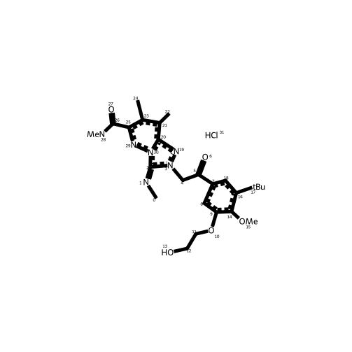 CN=c1n(CC(=O)c2cc(OCCO)c(OC)c(C(C)(C)C)c2)nc2c(C)c(C)c(C(=O)NC)nn12.Cl